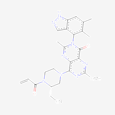 C=CC(=O)N1CCN(c2nc(OC)nc3c(=O)n(-c4c(C)c(C)cc5[nH]ncc45)c(C)nc23)C[C@@H]1CC#N